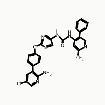 Nc1ncc(Cl)cc1-c1ccc(Oc2ncc(NC(=O)Nc3cc(C(F)(F)F)ncc3-c3ccccc3)cn2)cc1